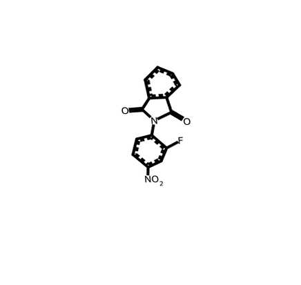 O=C1c2ccccc2C(=O)N1c1ccc([N+](=O)[O-])cc1F